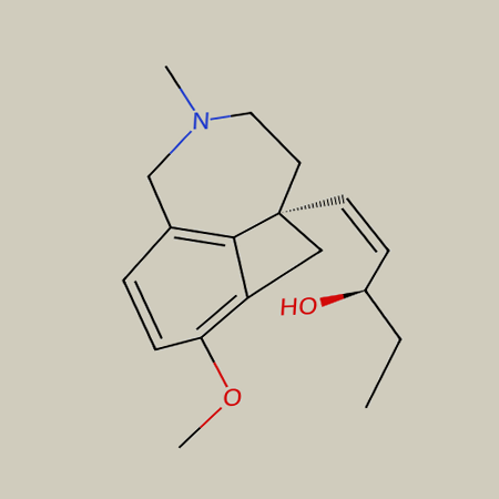 CC[C@@H](O)/C=C\[C@@]12CCN(C)Cc3ccc(OC)c(c31)C2